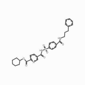 O=C(NCCCc1ccccc1)c1ccc(S(=O)(=O)NC(=O)c2ccc(C(=O)OC3CCCCC3)nc2)cc1